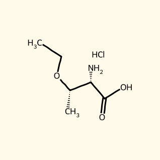 CCO[C@@H](C)[C@H](N)C(=O)O.Cl